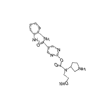 COCCN(C(=O)Oc1ncc(C(=O)Nc2ccccc2N)cn1)C1CCNC1